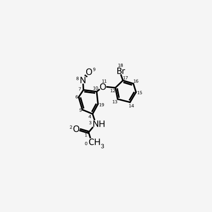 CC(=O)Nc1ccc(N=O)c(Oc2ccccc2Br)c1